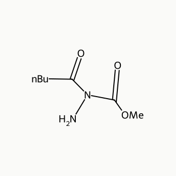 CCCCC(=O)N(N)C(=O)OC